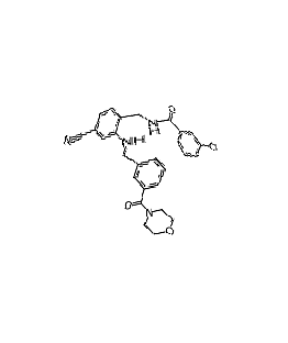 N#Cc1ccc(CNC(=O)c2cccc(Cl)c2)c(NCc2cccc(C(=O)N3CCOCC3)c2)c1